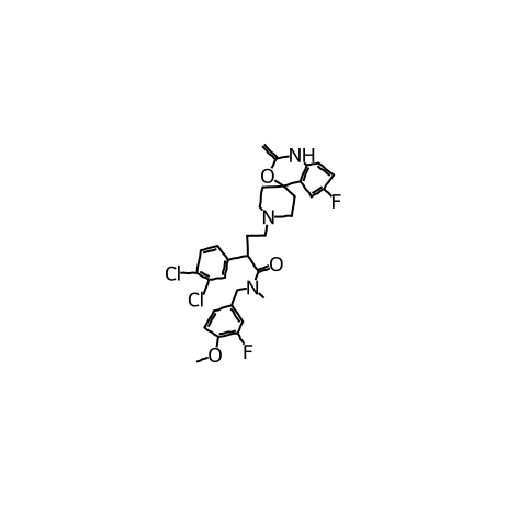 C=C1Nc2ccc(F)cc2C2(CCN(CCC(C(=O)N(C)Cc3ccc(OC)c(F)c3)c3ccc(Cl)c(Cl)c3)CC2)O1